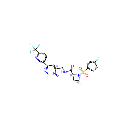 C=N/C(=C\C(=N/C)c1ccc(C(F)(F)F)nc1)CNC(=O)[C@@H]1C[C@@H](C)N1S(=O)(=O)c1ccc(F)cc1